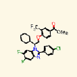 COC(=O)c1ccc(OCC(C2CCCCC2)n2c(-c3ccc(Cl)cc3)nc3cc(F)c(F)cc32)c(C(F)(F)F)c1